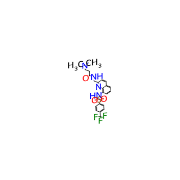 CN(C)CCC(=O)NCc1ccc2cccc(NS(=O)(=O)c3ccc(C(F)(F)F)cc3)c2n1